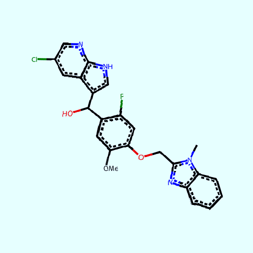 COc1cc(C(O)c2c[nH]c3ncc(Cl)cc23)c(F)cc1OCc1nc2ccccc2n1C